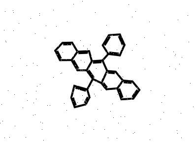 c1ccc(-c2c3cc4ccccc4cc3c(-c3ccccc3)c3cc4ccccc4cc23)cc1